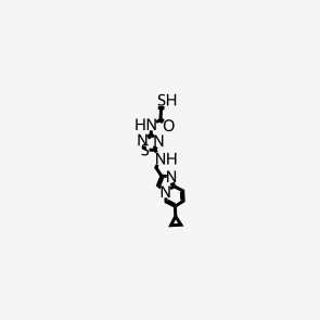 O=C(C#[SH])Nc1nsc(NCc2cn3cc(C4CC4)ccc3n2)n1